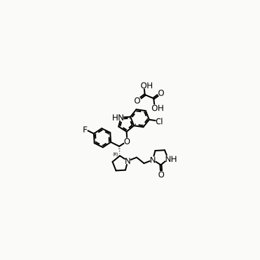 O=C(O)C(=O)O.O=C1NCCN1CCN1CCC[C@@H]1C(Oc1c[nH]c2ccc(Cl)cc12)c1ccc(F)cc1